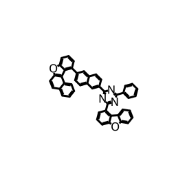 c1ccc(-c2nc(-c3ccc4cc(-c5cccc6oc7ccc8ccccc8c7c56)ccc4c3)nc(-c3cccc4oc5ccccc5c34)n2)cc1